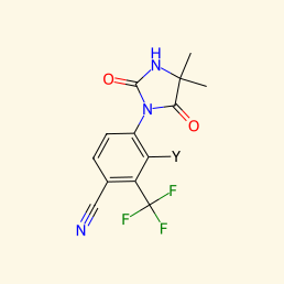 CC1(C)NC(=O)N(c2ccc(C#N)c(C(F)(F)F)[c]2[Y])C1=O